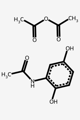 CC(=O)Nc1cc(O)ccc1O.CC(=O)OC(C)=O